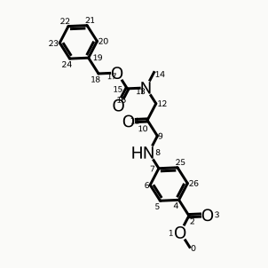 COC(=O)c1ccc(NCC(=O)CN(C)C(=O)OCc2ccccc2)cc1